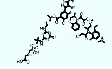 CC(C)OC(=O)c1cc(-c2nn(C)c(C(F)(F)F)c2Br)c(F)cc1Cl.CC1COc2ccccc2N1C(=O)C(Cl)Cl.CCNc1nc(Cl)nc(NC(C)(C)C)n1.CCc1cccc(C)c1N(C(=O)CCl)C(C)COC.C[S+](C)C.O=C(O)CNCP(=O)([O-])O